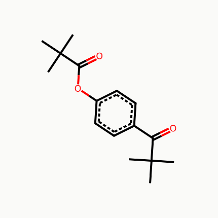 CC(C)(C)C(=O)Oc1ccc(C(=O)C(C)(C)C)cc1